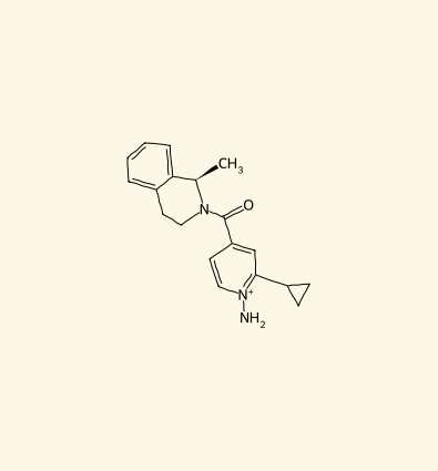 C[C@@H]1c2ccccc2CCN1C(=O)c1cc[n+](N)c(C2CC2)c1